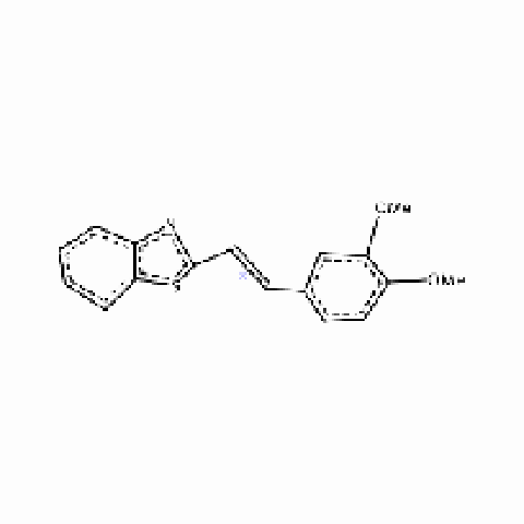 COc1ccc(/C=C/c2nc3ccccc3s2)cc1OC